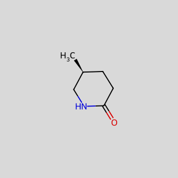 C[C@H]1CCC(=O)NC1